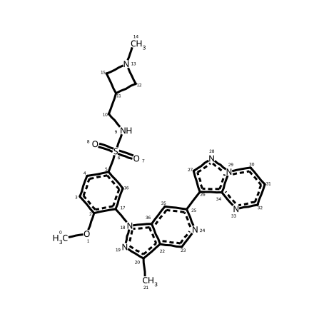 COc1ccc(S(=O)(=O)NCC2CN(C)C2)cc1-n1nc(C)c2cnc(-c3cnn4cccnc34)cc21